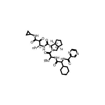 CCC[C@H](NC(=O)[C@H]1[C@H]2CCC[C@H]2CN1C(=O)C(NC(=O)C(NC(=O)c1cnccn1)C1CCCCC1)C(C)(C)C)C(=O)C(=O)NC1CC1